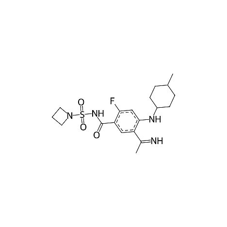 CC(=N)c1cc(C(=O)NS(=O)(=O)N2CCC2)c(F)cc1NC1CCC(C)CC1